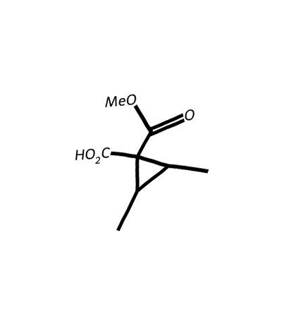 COC(=O)C1(C(=O)O)C(C)C1C